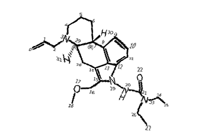 C=CCN1CCC[C@@H]2c3cccc4c3c(c(COC)n4NC(=O)N(CC)CC)C[C@H]21